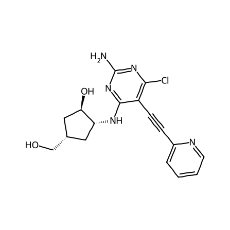 Nc1nc(Cl)c(C#Cc2ccccn2)c(N[C@@H]2C[C@H](CO)C[C@H]2O)n1